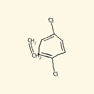 C=C.Clc1ccc(Cl)cc1